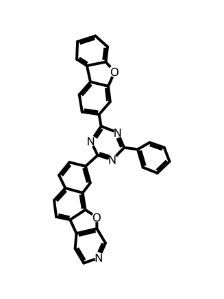 c1ccc(-c2nc(-c3ccc4c(c3)oc3ccccc34)nc(-c3ccc4ccc5c6ccncc6oc5c4c3)n2)cc1